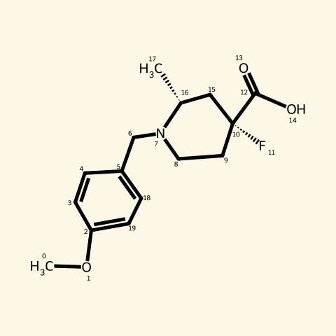 COc1ccc(CN2CC[C@](F)(C(=O)O)C[C@H]2C)cc1